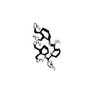 CCc1cccc(N=C(C)c2cccc(C(C)=Nc3cccc(CC)c3CC)n2)c1CC